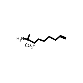 C=CCCCCC[C@](C)(N)C(=O)O